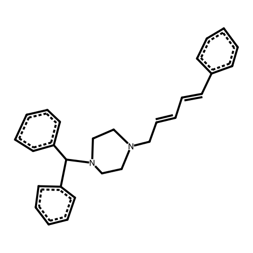 C(C=Cc1ccccc1)=CCN1CCN(C(c2ccccc2)c2ccccc2)CC1